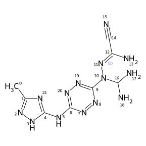 Cc1n[nH]c(Nc2nnc(N(/N=C(\N)C#N)C(N)N)nn2)n1